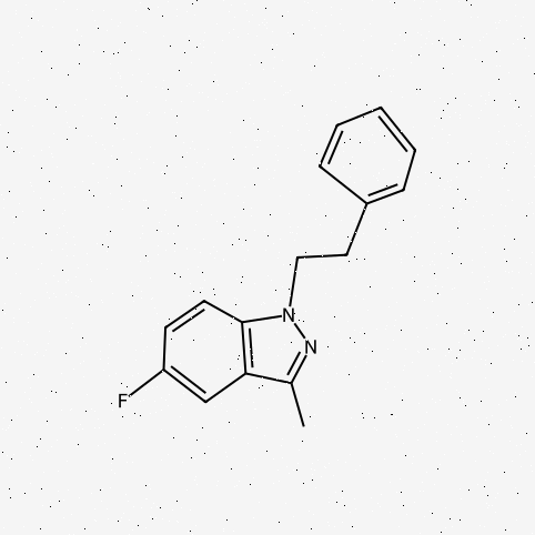 Cc1nn(CCc2ccccc2)c2ccc(F)cc12